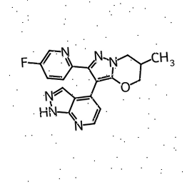 CC1COc2c(-c3ccnc4[nH]ncc34)c(-c3ccc(F)cn3)nn2C1